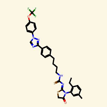 CCc1ccc(C)cc1N1C(=O)CS/C1=N\C(=S)NCCCCc1ccc(-c2ncn(-c3ccc(OC(F)(F)F)cc3)n2)cc1